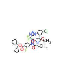 CCC(C(=O)Nc1ccc(C(=O)OC(c2ccccc2)c2ccccc2)c(F)c1)n1cc(OC)c(-c2cc(Cl)ccc2-n2cc(C(F)(F)F)nn2)cc1=O